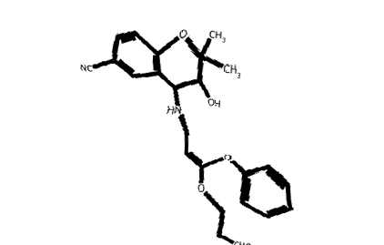 CC1(C)Oc2ccc(C#N)cc2C(NC/C=C(/OCCC=O)Oc2ccccc2)C1O